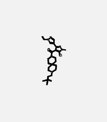 CCn1cc(-c2nn(C)c(Cl)c2C(=O)N2CCC3(CCN(CCC(C)(C)C)CC3)CC2)cn1